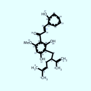 C=C(C)C(CC=C(C)C)Cc1c(O)cc(OC)c(C(=O)/C=C/c2ccccc2O)c1O